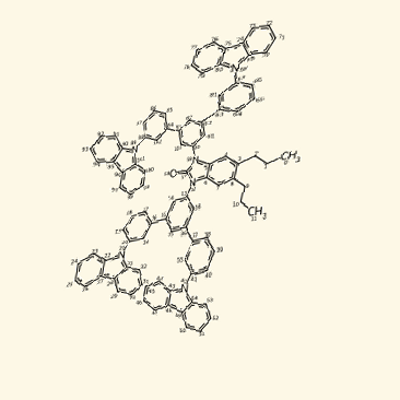 CCCc1cc2c(cc1CCC)n(-c1cc(-c3cccc(-n4c5ccccc5c5ccccc54)c3)cc(-c3cccc(-n4c5ccccc5c5ccccc54)c3)c1)c(=O)n2-c1cc(-c2cccc(-n3c4ccccc4c4ccccc43)c2)cc(-c2cccc(-n3c4ccccc4c4ccccc43)c2)c1